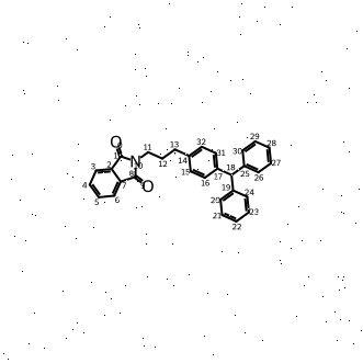 O=C1c2ccccc2C(=O)N1CC[CH]c1ccc(C(c2ccccc2)c2ccccc2)cc1